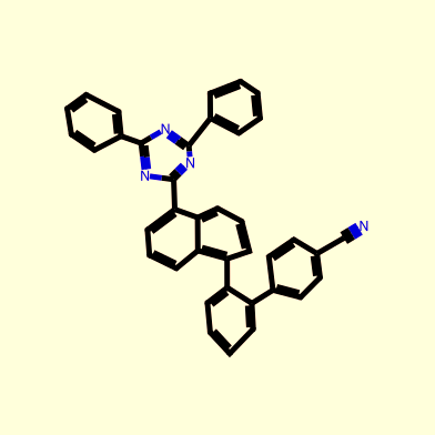 N#Cc1ccc(-c2ccccc2-c2cccc3c(-c4nc(-c5ccccc5)nc(-c5ccccc5)n4)cccc23)cc1